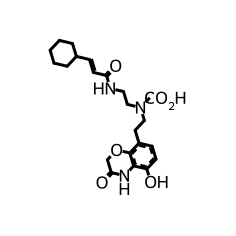 O=C(C=CC1CCCCC1)NCCN(CCc1ccc(O)c2c1OCC(=O)N2)C(=O)O